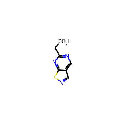 O=C(O)Cc1ncc2cnsc2n1